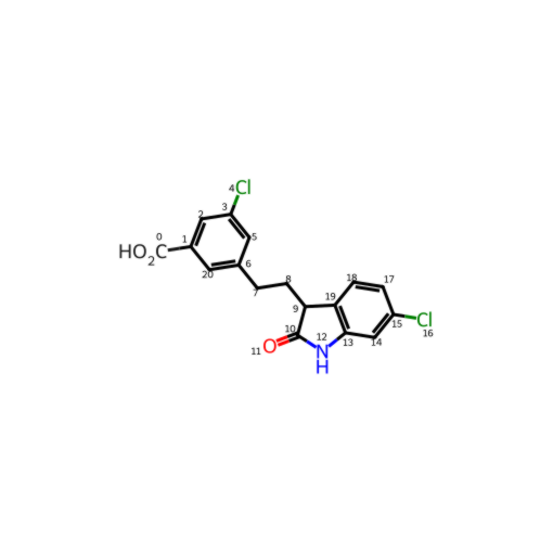 O=C(O)c1cc(Cl)cc(CCC2C(=O)Nc3cc(Cl)ccc32)c1